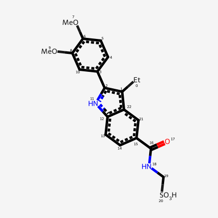 CCc1c(-c2ccc(OC)c(OC)c2)[nH]c2ccc(C(=O)NCS(=O)(=O)O)cc12